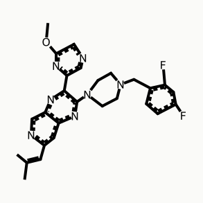 COc1cncc(-c2nc3cnc(C=C(C)C)cc3nc2N2CCN(Cc3ccc(F)cc3F)CC2)n1